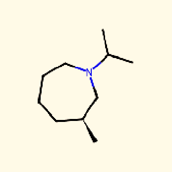 CC(C)N1CCCC[C@H](C)C1